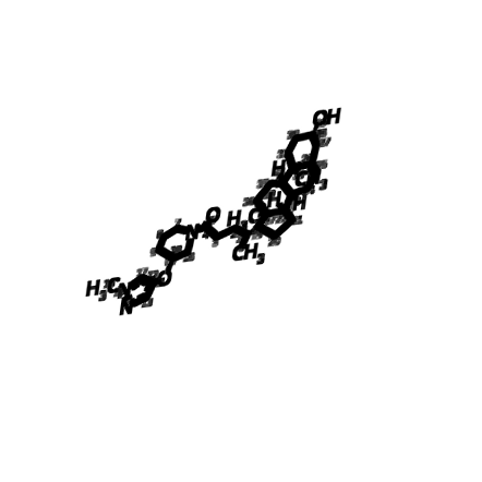 CC(CCC(=O)N1CCC[C@H](Oc2cnn(C)c2)C1)[C@H]1CC[C@H]2[C@@H]3CC=C4C[C@@H](O)CC[C@]4(C)[C@H]3CC[C@]12C